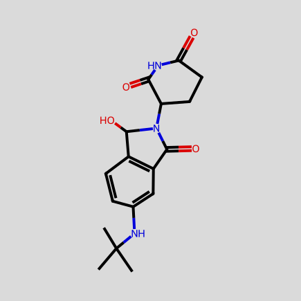 CC(C)(C)Nc1ccc2c(c1)C(=O)N(C1CCC(=O)NC1=O)C2O